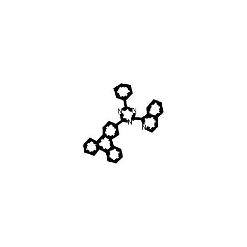 c1ccc(-c2nc(-c3ccc4c5ccccc5c5ccccc5c4c3)nc(-c3nccc4ccccc34)n2)cc1